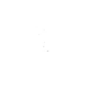 COC(=O)C=Cc1ccc(C)cc1OC